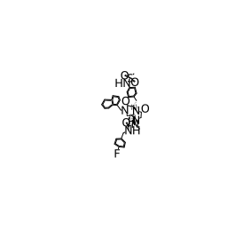 CN(C(=O)NCc1ccc(F)cc1)N1CC(=O)N2[C@@H](Cc3ccc(NS(C)(=O)=O)cc3)C(=O)N(Cc3cccc4ccccc34)C[C@@H]21